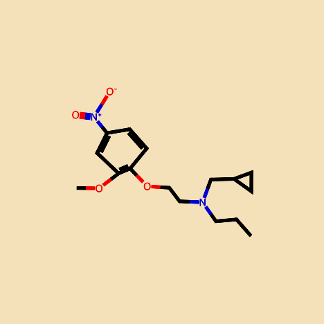 CCCN(CCOc1ccc([N+](=O)[O-])cc1OC)CC1CC1